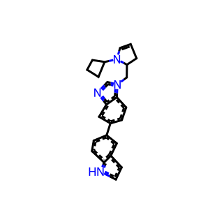 C1=CN(C2CCC2)C(Cn2cnc3cc(-c4ccc5[nH]ccc5c4)ccc32)C1